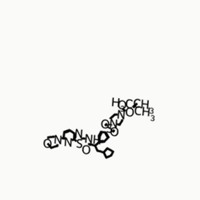 CC(C)(C)OC(=O)N1CCN(S(=O)(=O)c2ccc(C(CC3CCCC3)C(=O)Nc3nc4ccc(N5CCOCC5)nc4s3)cc2)CC1